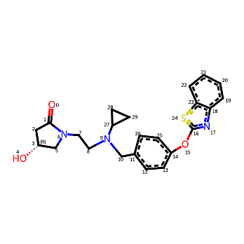 O=C1C[C@@H](O)CN1CCN(Cc1ccc(Oc2nc3ccccc3s2)cc1)C1CC1